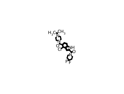 CC(C)N1CCN(C(=O)c2ccc3[nH]c(C(=O)N4CCC(F)(F)CC4)cc3c2Cl)CC1